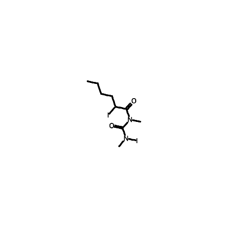 CCCCC(I)C(=O)N(C)C(=O)N(C)I